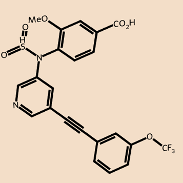 COc1cc(C(=O)O)ccc1N(c1cncc(C#Cc2cccc(OC(F)(F)F)c2)c1)[SH](=O)=O